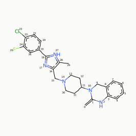 C=C1Nc2ccccc2CN1C1CCN(Cc2nc(-c3ccc(Cl)c(F)c3)[nH]c2C)CC1